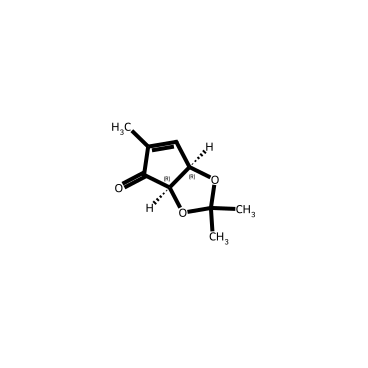 CC1=C[C@H]2OC(C)(C)O[C@H]2C1=O